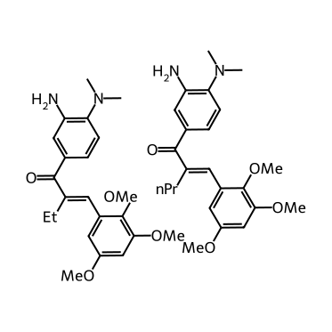 CC/C(=C\c1cc(OC)cc(OC)c1OC)C(=O)c1ccc(N(C)C)c(N)c1.CCC/C(=C\c1cc(OC)cc(OC)c1OC)C(=O)c1ccc(N(C)C)c(N)c1